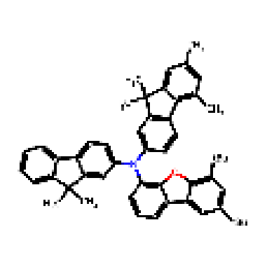 Cc1cc(C)c2c(c1)C(C)(C)c1cc(N(c3ccc4c(c3)C(C)(C)c3ccccc3-4)c3cccc4c3oc3c(C(C)(C)C)cc(C(C)(C)C)cc34)ccc1-2